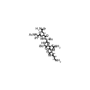 CC[C@@H](C)[C@H](NC(=O)[C@@H](NC(=O)[C@H](CCC(N)=O)NC(=O)[C@@H](NC(C)=O)C(C)C)[C@@H](C)CC)C(=O)N[C@@H](CC(N)=O)C(=O)N[C@@H](CCCCN)C(N)=O